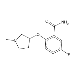 CN1CCC(Oc2ccc(F)cc2C(N)=O)C1